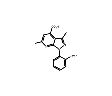 COc1ccccc1-n1nc(C)c2c(C(=O)O)cc(C)nc21